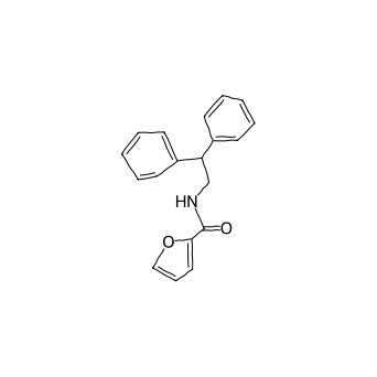 O=C(NCC(c1ccccc1)c1ccccc1)c1ccco1